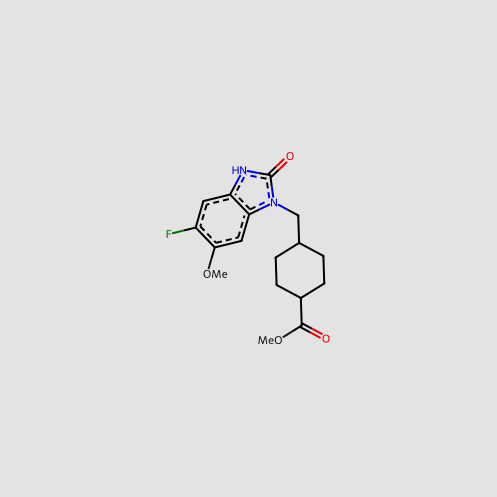 COC(=O)C1CCC(Cn2c(=O)[nH]c3cc(F)c(OC)cc32)CC1